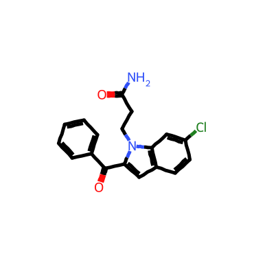 NC(=O)CCn1c(C(=O)c2ccccc2)cc2ccc(Cl)cc21